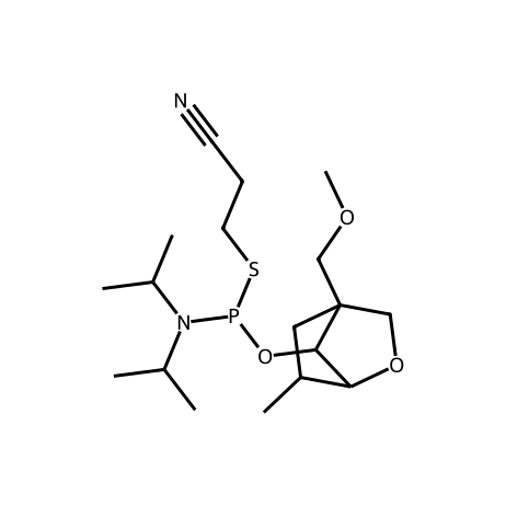 COCC12COC(C(C)C1)C2OP(SCCC#N)N(C(C)C)C(C)C